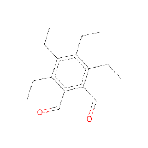 CCc1c(C=O)c(C=O)c(CC)c(CC)c1CC